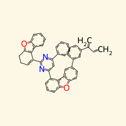 C=CC(=C)c1cccc(-c2ccc3oc4cccc(-c5cc(-c6ccccc6)nc(C6=CCCc7oc8ccccc8c76)n5)c4c3c2)c1